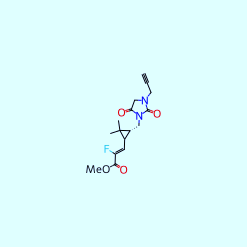 C#CCN1CC(=O)N(C[C@@H]2C(/C=C(\F)C(=O)OC)C2(C)C)C1=O